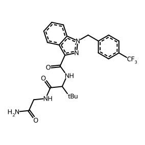 CC(C)(C)C(NC(=O)c1nn(Cc2ccc(C(F)(F)F)cc2)c2ccccc12)C(=O)NCC(N)=O